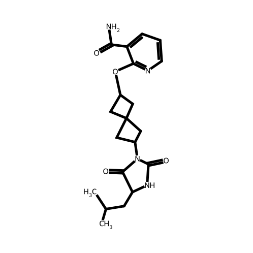 CC(C)CC1NC(=O)N(C2CC3(CC(Oc4ncccc4C(N)=O)C3)C2)C1=O